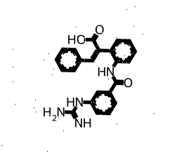 N=C(N)Nc1cccc(C(=O)Nc2ccccc2C(=Cc2ccccc2)C(=O)O)c1